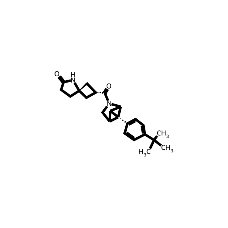 CC(C)(C)c1ccc([C@@]23C4CN(C(=O)[C@H]5C[C@]6(CCC(=O)N6)C5)C2C43)cc1